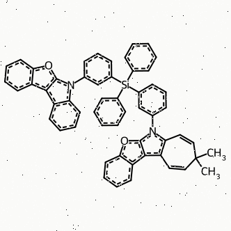 CC1(C)C=Cc2c(n(-c3cccc([Si](c4ccccc4)(c4ccccc4)c4cccc(-n5c6ccccc6c6c7ccccc7oc65)c4)c3)c3oc4ccccc4c23)C=C1